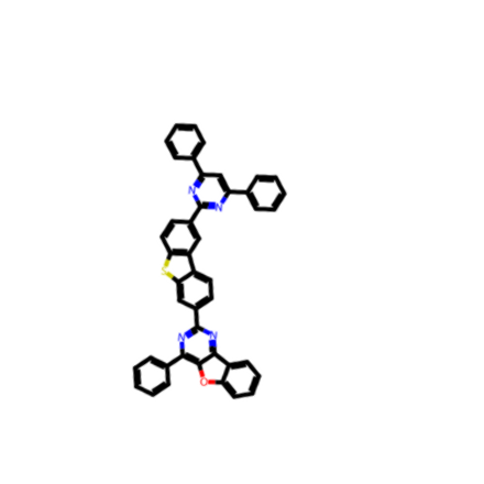 c1ccc(-c2cc(-c3ccccc3)nc(-c3ccc4sc5cc(-c6nc(-c7ccccc7)c7oc8ccccc8c7n6)ccc5c4c3)n2)cc1